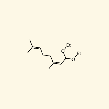 CCO[C](/C=C(/C)CCC=C(C)C)OCC